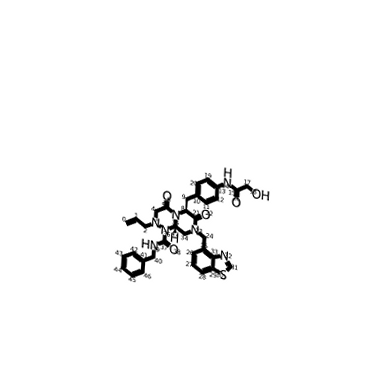 C=CCN1CC(=O)N2[C@@H](Cc3ccc(NC(=O)CO)cc3)C(=O)N(Cc3cccc4scnc34)C[C@@H]2N1C(=O)NCc1ccccc1